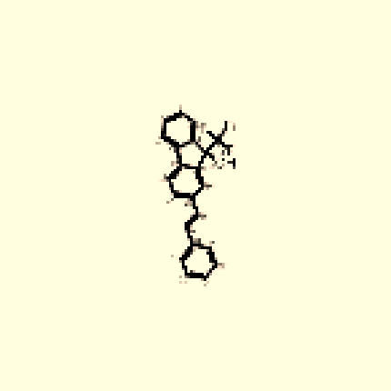 OC1(C(F)(F)F)c2ccccc2-c2ccc(/C=C/c3ccccc3)cc21